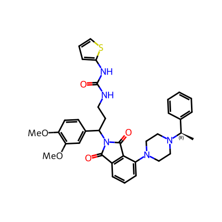 COc1ccc(C(CCNC(=O)Nc2cccs2)N2C(=O)c3cccc(N4CCN([C@H](C)c5ccccc5)CC4)c3C2=O)cc1OC